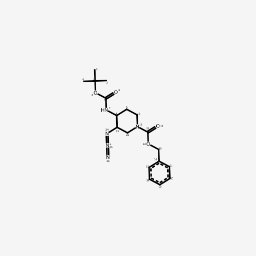 CC(C)(C)OC(=O)NC1CCN(C(=O)OCc2ccccc2)CC1N=[N+]=[N-]